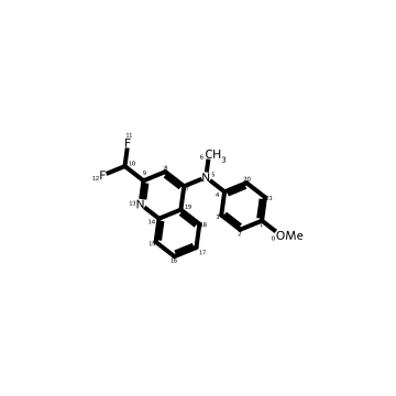 COc1ccc(N(C)c2cc(C(F)F)nc3ccccc23)cc1